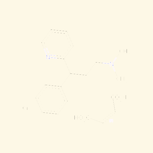 CN(C)CCC(c1ccccc1)c1ccccn1.O=C(O)/C=C\C(=O)O.[Cr]